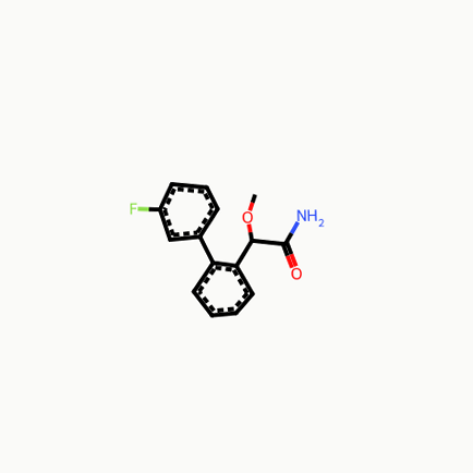 COC(C(N)=O)c1ccccc1-c1cccc(F)c1